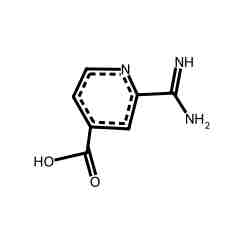 N=C(N)c1cc(C(=O)O)ccn1